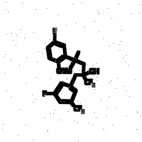 COc1ccc(F)cc1C(C)(C)CC(O)(Cc1cc(F)cc(C(F)(F)F)c1)C(F)(F)F